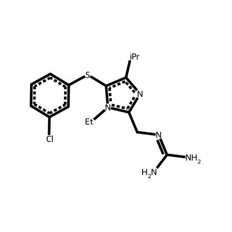 CCn1c(CN=C(N)N)nc(C(C)C)c1Sc1cccc(Cl)c1